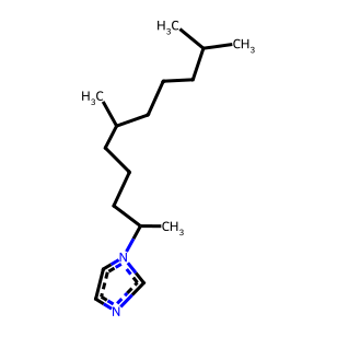 CC(C)CCCC(C)CCCC(C)n1ccnc1